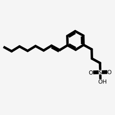 CCCCCC/C=C/c1cccc(CCCS(=O)(=O)O)c1